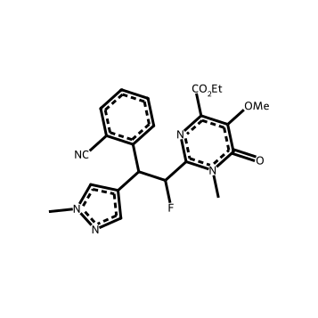 CCOC(=O)c1nc(C(F)C(c2cnn(C)c2)c2ccccc2C#N)n(C)c(=O)c1OC